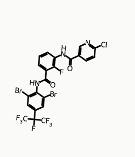 O=C(Nc1cccc(C(=O)Nc2c(Br)cc(C(F)(C(F)(F)F)C(F)(F)F)cc2Br)c1F)c1ccc(Cl)nc1